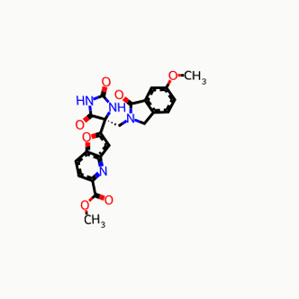 COC(=O)c1ccc2oc([C@]3(CN4Cc5ccc(OC)cc5C4=O)NC(=O)NC3=O)cc2n1